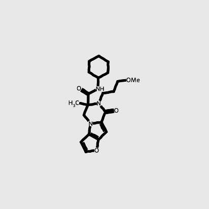 COCCCN1C(=O)c2cc3occc3n2CC1(C)C(=O)NC1CCCCC1